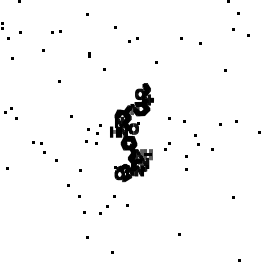 C=CC(=O)N(C)C1CCCN(Cc2ccnc(C(=O)Nc3ccc(-c4cc5c(N6CCOCC6)ncnc5[nH]4)cc3)c2)C1